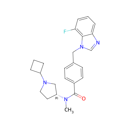 CN(C(=O)c1ccc(Cn2cnc3cccc(F)c32)cc1)[C@@H]1CCN(C2CCC2)C1